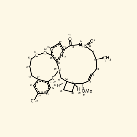 CO[C@H]1/C=C/C[C@H](C)C/[SH](=O)=N\C(=O)c2ccc3c(n2)N(Cc2ccc(Cl)cc2CCCCO3)C[C@@H]2CC[C@H]21